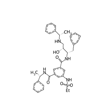 CCS(=O)(=O)Nc1cc(C(=O)N[C@@H](C)c2ccccc2)cc(C(=O)N[C@@H](Cc2ccccc2)[C@H](O)CN[C@@H](C)c2ccccc2)c1